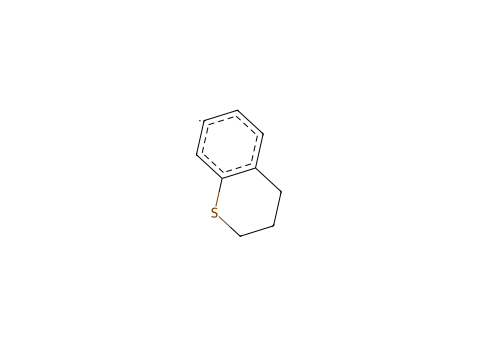 [c]1ccc2c(c1)SCCC2